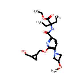 CCOC(=O)C(CC)(CC)NC(=O)c1ccc(N2CC(OC)C2)c(OCC2CC2CO)n1